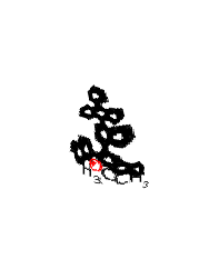 CC1(C)c2ccccc2-c2cc(-c3ccc(-c4c5ccccc5c(-c5ccccc5)c5ccccc45)c4ccccc34)c3c(oc4c5ccccc5ccc43)c21